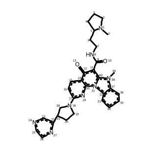 CN1CCCC1CCNC(=O)c1c(=O)c2ccc(N3CCC(c4cnccn4)C3)nc2n2c3ccccc3n(C)c12